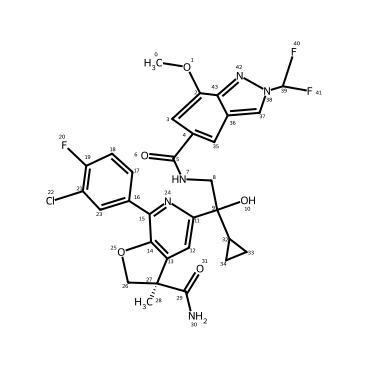 COc1cc(C(=O)NCC(O)(c2cc3c(c(-c4ccc(F)c(Cl)c4)n2)OC[C@]3(C)C(N)=O)C2CC2)cc2cn(C(F)F)nc12